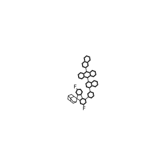 Fc1ccc2c(c1)C1(c3cc(F)cc(-c4cccc(-c5ccc(-c6c7ccccc7c(-c7ccc8ccccc8c7)c7ccccc67)c6ccccc56)c4)c3-2)C2CC3CC(C2)CC1C3